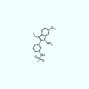 CCn1c(-c2cccc(NS(C)(=O)=O)c2)c(N)c2cc(OC)ccc21